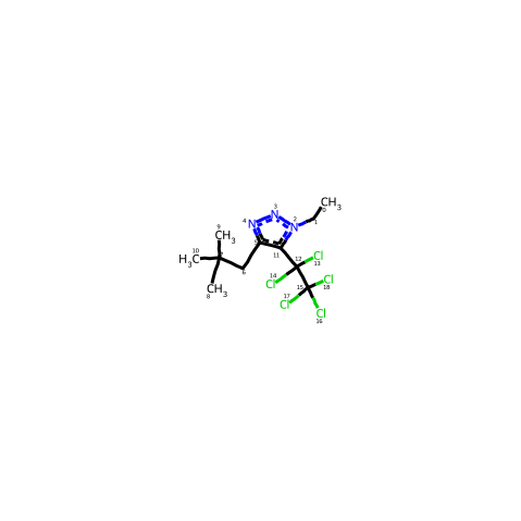 CCn1nnc(CC(C)(C)C)c1C(Cl)(Cl)C(Cl)(Cl)Cl